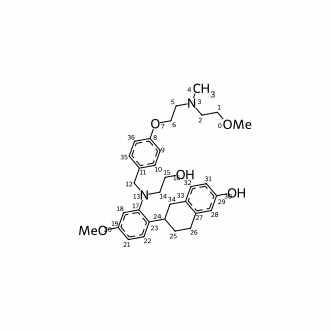 COCCN(C)CCOc1ccc(CN(CCO)c2cc(OC)ccc2C2CCc3cc(O)ccc3C2)cc1